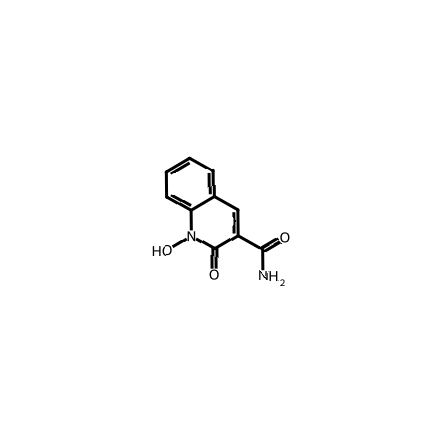 NC(=O)c1cc2ccccc2n(O)c1=O